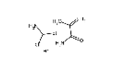 C=C(C)C(N)=O.CCC(N)Cl.[H+]